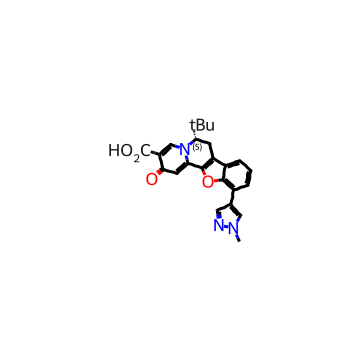 Cn1cc(-c2cccc3c4c(oc23)-c2cc(=O)c(C(=O)O)cn2[C@H](C(C)(C)C)C4)cn1